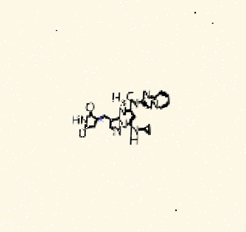 CN(c1cn2ccccc2n1)c1cc(NC2CC2)n2ncc(/C=C3\CC(=O)NC3=O)c2n1